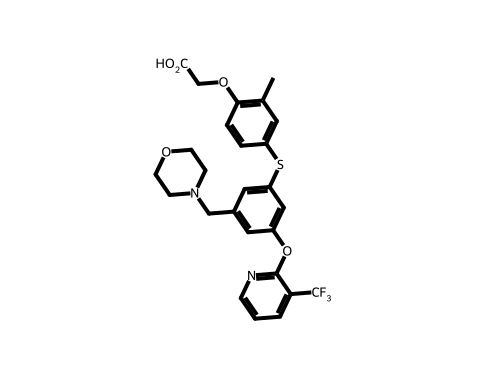 Cc1cc(Sc2cc(CN3CCOCC3)cc(Oc3ncccc3C(F)(F)F)c2)ccc1OCC(=O)O